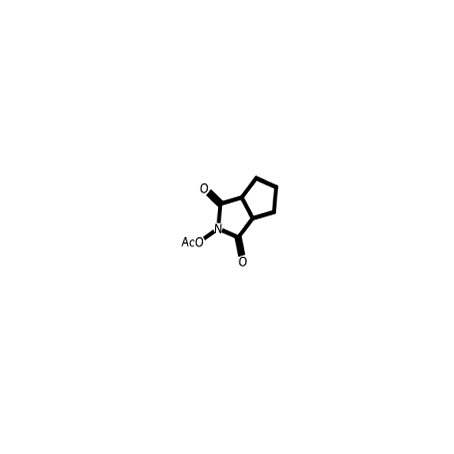 CC(=O)ON1C(=O)C2CCCC2C1=O